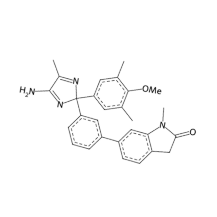 COc1c(C)cc(C2(c3cccc(-c4ccc5c(c4)N(C)C(=O)C5)c3)N=C(C)C(N)=N2)cc1C